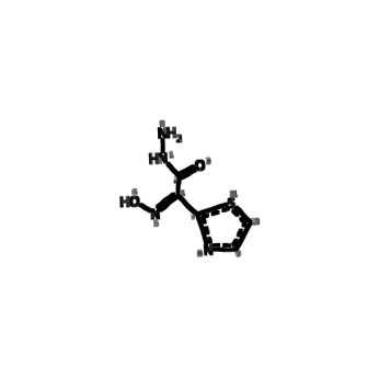 NNC(=O)C(=NO)c1nccs1